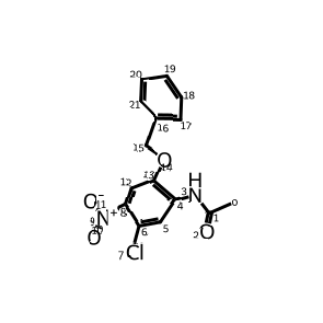 CC(=O)Nc1cc(Cl)c([N+](=O)[O-])cc1OCc1ccccc1